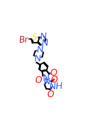 O=C1CCN(N2C(=O)c3ccc(CN4CCN(c5ncnc6sc(Br)cc56)CC4)cc3C2=O)C(=O)N1